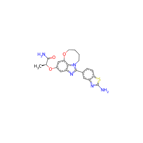 C[C@H](Oc1cc2c3c(c1)nc(-c1ccc4sc(N)nc4c1)n3CCCCO2)C(N)=O